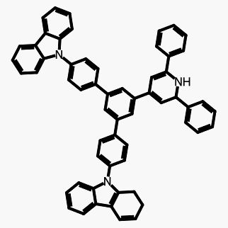 C1=Cc2c(n(-c3ccc(-c4cc(C5=CC(c6ccccc6)NC(c6ccccc6)=C5)cc(-c5ccc(-n6c7ccccc7c7ccccc76)cc5)c4)cc3)c3ccccc23)CC1